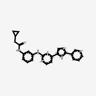 O=C(CC1CC1)Nc1cccc(Nc2nccc(-c3cnc(-c4cccnc4)[nH]3)n2)c1